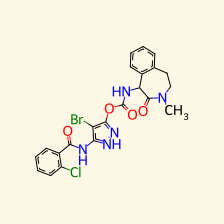 CN1CCc2ccccc2C(NC(=O)Oc2n[nH]c(NC(=O)c3ccccc3Cl)c2Br)C1=O